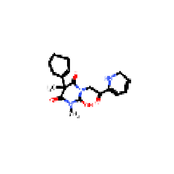 CN1C(=O)C(C)(C2=CCCCC2)C(=O)N(CC(=O)C2=CC=CCN2)C1O